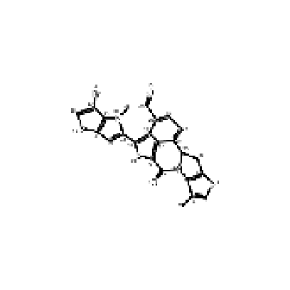 Cc1csc2c1N1C(=O)c3sc(-c4cc5scc(Br)c5n4C)c4c(C=O)ccc(c34)C1C2